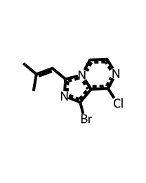 CC(C)=Cc1nc(Br)c2c(Cl)nccn12